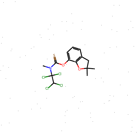 CN(C(=S)Oc1cccc2c1OC(C)(C)C2)C(Cl)(Cl)C(Cl)Cl